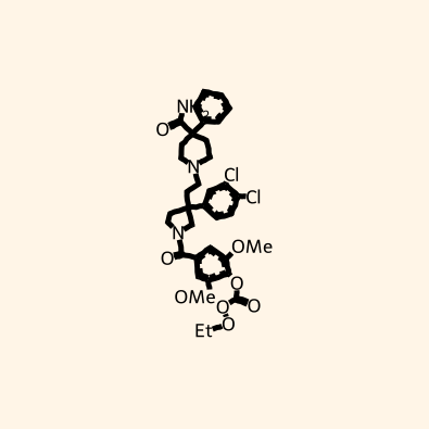 CCOOC(=O)Oc1c(OC)cc(C(=O)N2CCC(CCN3CCC(C(N)=O)(c4ccccc4)CC3)(c3ccc(Cl)c(Cl)c3)C2)cc1OC